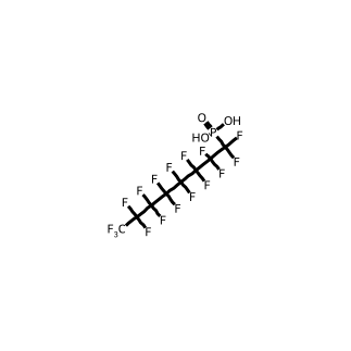 O=P(O)(O)C(F)(F)C(F)(F)C(F)(F)C(F)(F)C(F)(F)C(F)(F)C(F)(F)C(F)(F)F